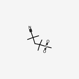 CC(C)(C#N)CC(C)(C)S(C)(=O)=O